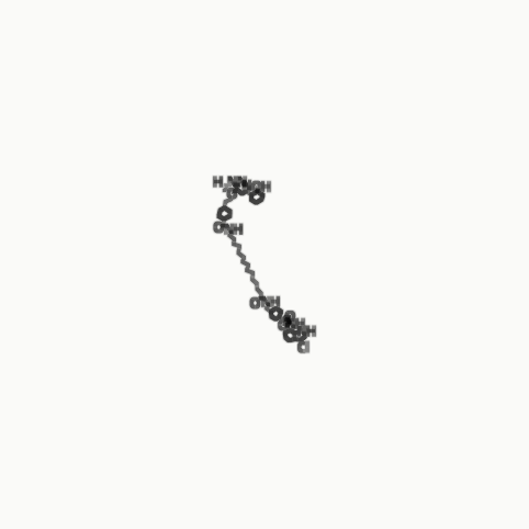 Nc1nnc(-c2ccccc2O)cc1OCCc1ccc(C(=O)NCCCCCCCCCCCCCCC(=O)NCc2ccc(S(=O)(=O)Nc3cccc4c(Cl)c[nH]c34)cc2)cc1